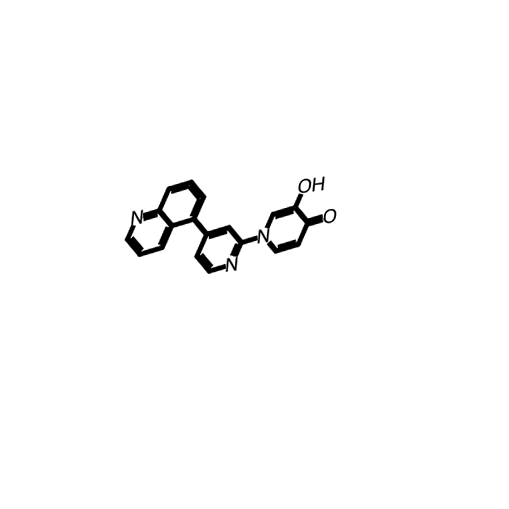 O=c1ccn(-c2cc(C3=C=C=Cc4ncccc43)ccn2)cc1O